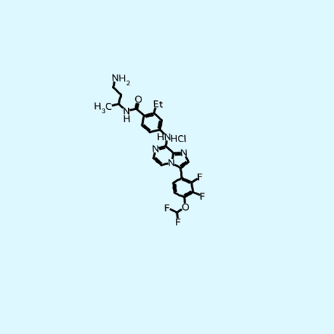 CCc1cc(Nc2nccn3c(-c4ccc(OC(F)F)c(F)c4F)cnc23)ccc1C(=O)NC(C)CCN.Cl